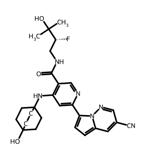 CC(C)(O)[C@H](F)CNC(=O)c1cnc(-c2ccc3cc(C#N)cnn23)cc1NC12CCC(O)(CC1)CC2